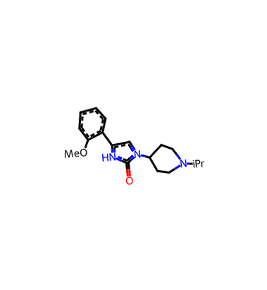 COc1ccccc1-c1cn(C2CCN(C(C)C)CC2)c(=O)[nH]1